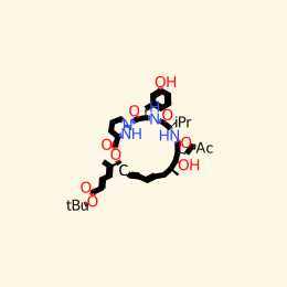 CC(=O)CC[C@H]1C(=O)N[C@@H](C(C)C)C(=O)N[C@@H](Cc2cccc(O)c2)C(=O)N2CCCC(N2)C(=O)O[C@H](/C(C)=C/C=C/C(=O)OC(C)(C)C)C/C=C/C=C/C[C@H](C)[C@H]1O